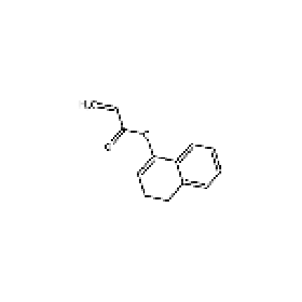 C=CC(=O)OC1=CCCc2ccccc21